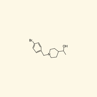 CC(O)C1CCN(Cc2ccc(Br)cc2)CC1